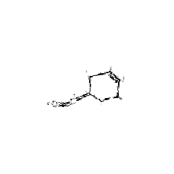 O=C=C1CC=CCC1